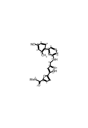 CNC(=O)c1ccc(-c2cc(CNc3nncc(-c4ccc(C#N)cc4C)n3)n[nH]2)o1